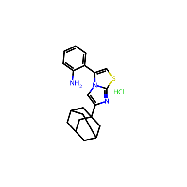 Cl.Nc1ccccc1-c1csc2nc(C34CC5CC(CC(C5)C3)C4)cn12